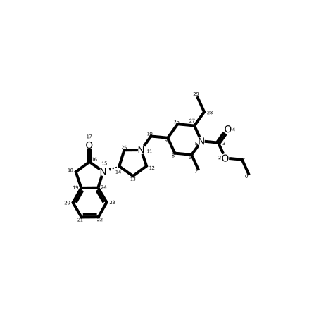 CCOC(=O)N1C(C)CC(CN2CC[C@H](N3C(=O)Cc4ccccc43)C2)CC1CC